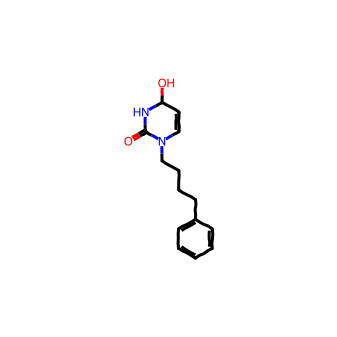 O=C1NC(O)C=CN1CCCCc1ccccc1